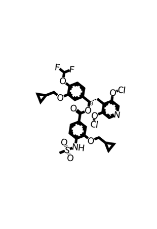 CS(=O)(=O)Nc1ccc(C(=O)O[C@@H](Cc2c(OCl)cncc2OCl)c2ccc(OC(F)F)c(OCC3CC3)c2)cc1OCC1CC1